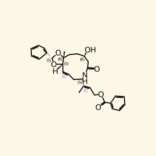 C/C(=C\COC(=O)c1ccccc1)[C@@H]1C/C=C/[C@@H]2O[C@H](c3ccccc3)O[C@]2(C)CC[C@@H](O)CC(=O)N1